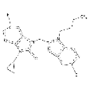 O=c1n(Cc2cc3cc(Cl)ncc3n2CCCC(F)(F)F)c2cc(F)ccc2n1C1CC1